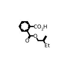 C=C(CC)COC(=O)c1ccccc1C(=O)O